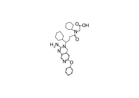 NC1=Nc2cnc(Oc3ccccc3)cc2CN1C(CCC(=O)N(CC(=O)O)C1CCCCC1)C1CCCCC1